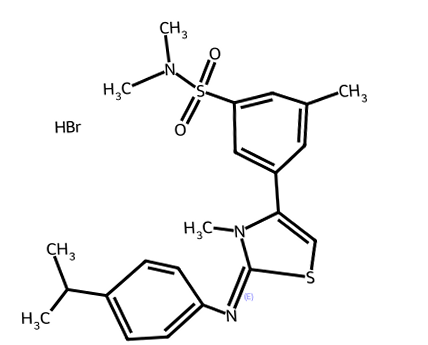 Br.Cc1cc(-c2cs/c(=N/c3ccc(C(C)C)cc3)n2C)cc(S(=O)(=O)N(C)C)c1